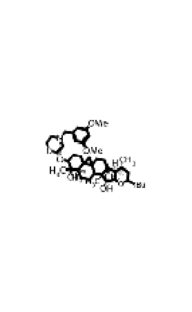 CCC(C)C1C[C@@H](C)[C@H]2C(O1)[C@H](O)[C@@]1(C)C3CC[C@H]4C(C)(C)C(O[C@H]5CN(Cc6cc(OC)cc(OC)c6)CCO5)CCC45CC35CCC21C